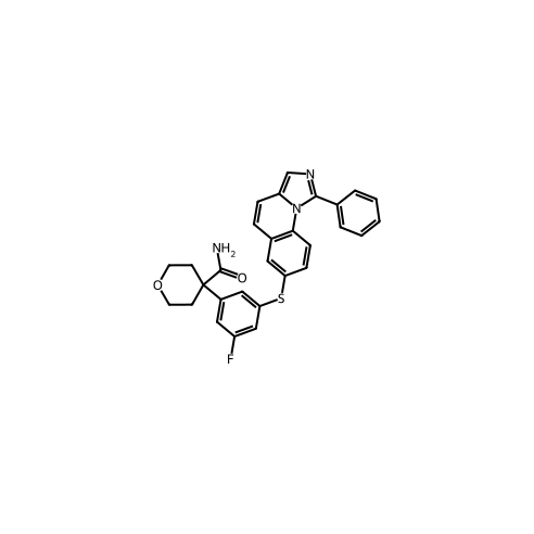 NC(=O)C1(c2cc(F)cc(Sc3ccc4c(ccc5cnc(-c6ccccc6)n54)c3)c2)CCOCC1